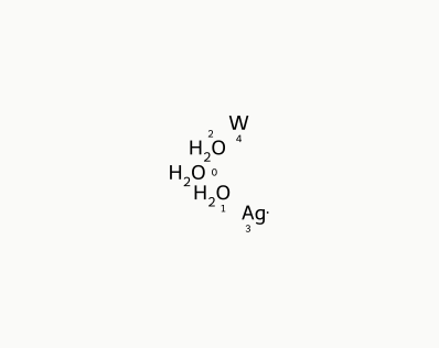 O.O.O.[Ag].[W]